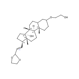 C[C@]12CCC(OCCO)CC1CC[C@@H]1[C@@H]2CC[C@]2(C)[C@@H](/C=C/C3OCCO3)CC[C@@]12O